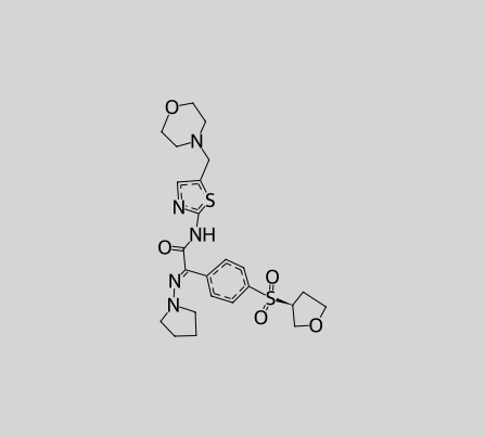 O=C(Nc1ncc(CN2CCOCC2)s1)/C(=N/N1CCCC1)c1ccc(S(=O)(=O)[C@H]2CCOC2)cc1